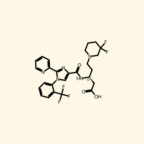 O=C(O)C[C@H](CCN1CCCC(F)(F)C1)NC(=O)c1cn(-c2ccccc2C(F)(F)F)c(-c2ccccn2)n1